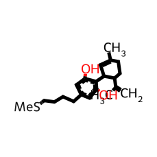 C=C(C)C1CCC(C)=CC1c1c(O)cc(CCCCSC)cc1O